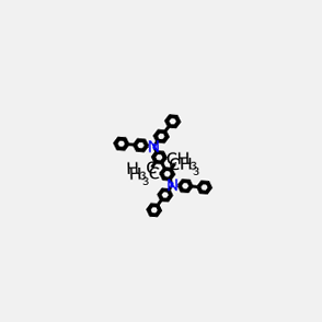 Cc1cc(N(c2ccc(-c3ccccc3)cc2)c2ccc(-c3ccccc3)cc2)cc(C)c1-c1c(C)cc(N(c2ccc(-c3ccccc3)cc2)c2ccc(-c3ccccc3)cc2)cc1C